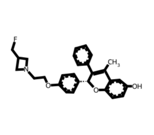 CC1=C(c2ccccc2)[C@@H](c2ccc(OCCN3CC(CF)C3)cc2)Oc2ccc(O)cc21